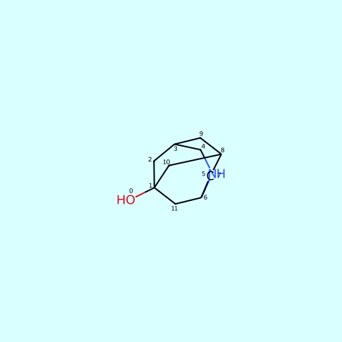 OC12CC3CNC(CC(C3)C1)C2